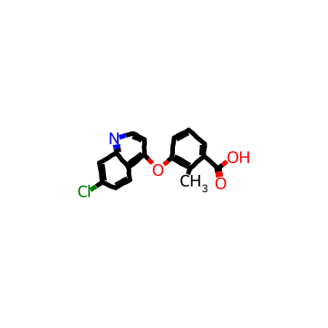 Cc1c(Oc2ccnc3cc(Cl)ccc23)cccc1C(=O)O